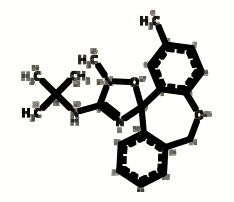 Cc1ccc2c(c1)C1(N=C(NC(C)(C)C)N(C)O1)c1ccccc1CO2